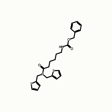 O=C(NCCCCCC(=O)N(Cc1cccs1)Cc1cccs1)OCc1ccccc1